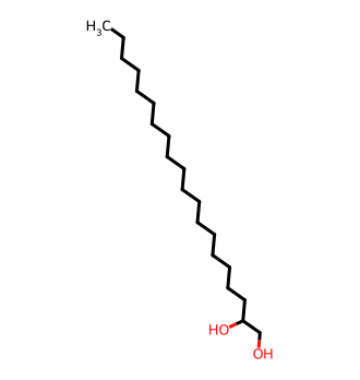 CCCCCCCCCCCCCCCCCCC(O)CO